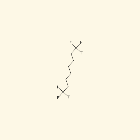 FC(F)(F)CCCCCCC(F)(F)I